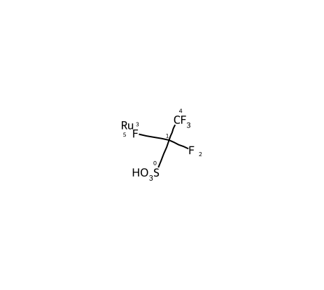 O=S(=O)(O)C(F)(F)C(F)(F)F.[Ru]